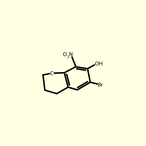 O=[N+]([O-])c1c(O)c(Br)cc2c1CCCC2